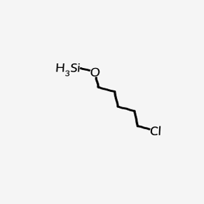 [SiH3]OCCCCCCl